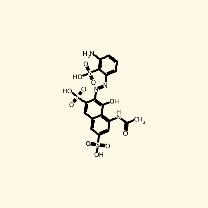 CC(=O)Nc1cc(S(=O)(=O)O)cc2cc(S(=O)(=O)O)c(N=Nc3cccc(N)c3S(=O)(=O)O)c(O)c12